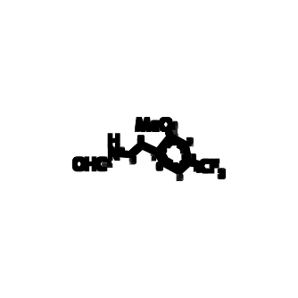 COc1cc(C(F)(F)F)ccc1CCNC=O